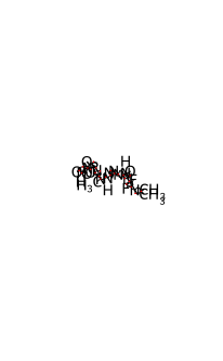 CN(CCNc1cc(N2CCC3(CC2)CN(c2cc(F)c(CN4CCC(C)(C)CC4)cc2F)CC(=O)N3)ncn1)C1CCN(c2cccc3c2C(=O)N(C2CCC(=O)NC2=O)C3=O)CC1